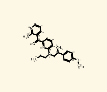 CCCN(CC(C)c1ccc(OC)cc1)c1cccc(C(=O)c2cccnc2N)n1